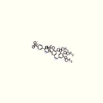 COc1cc(/C=C\c2cc(Cl)c(OC)c(N/C=C\C(=O)c3ccc([N+](=O)[O-])cc3)c2)cc(OC)c1OC